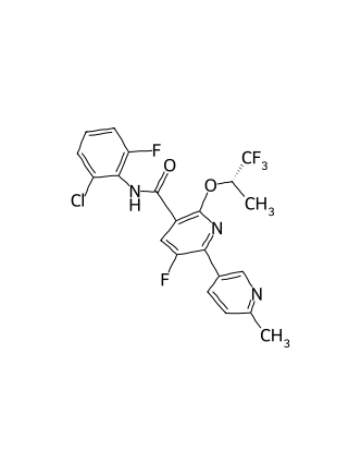 Cc1ccc(-c2nc(O[C@@H](C)C(F)(F)F)c(C(=O)Nc3c(F)cccc3Cl)cc2F)cn1